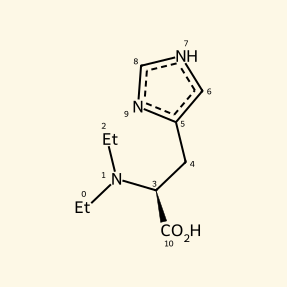 CCN(CC)[C@@H](Cc1c[nH]cn1)C(=O)O